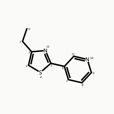 CCc1csc(-c2cccnc2)n1